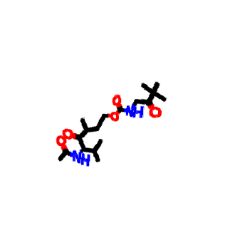 CC(=O)N[C@H](C(=O)C(C)CCOC(=O)NCC(=O)C(C)(C)C)C(C)C